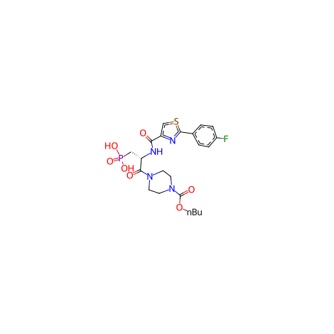 CCCCOC(=O)N1CCN(C(=O)[C@H](CP(=O)(O)O)NC(=O)c2csc(-c3ccc(F)cc3)n2)CC1